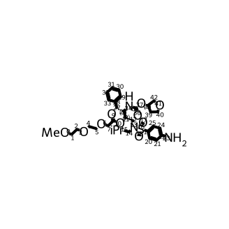 COCCOCCOCC(=O)O[C@H](CN(CC(C)C)S(=O)(=O)c1ccc(N)cc1)[C@H](Cc1ccccc1)NC(=O)O[C@H]1CCOC1